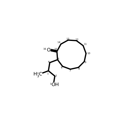 CC(CO)CC1CCCCCCCCCC1=O